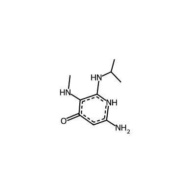 CNc1c(NC(C)C)[nH]c(N)cc1=O